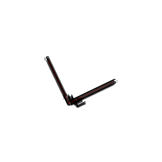 C.C.C.C.C.C.C.C.C.C.C.C.C.C.C.C.[C].[S].[S].[S].[S].[S].[S].[S].[S].[S].[S].[S].[S].[S].[S].[S].[S].[S].[S].[S].[S].[S].[S].[S].[S].[S].[S].[S].[S].[S].[S].[S].[S].[S].[S].[S].[S].[S].[S].[S].[S].[S].[S].[S].[S].[S].[S].[S].[S].[S].[S].[S].[S].[S].[S].[S].[S].[S].[S].[S].[S].[S].[S].[S].[S].[S].[S].[S].[S].[S].[S].[S].[S].[S].[S].[S].[S].[S].[S].[S].[S].[S].[S].[S]